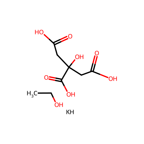 CCO.O=C(O)CC(O)(CC(=O)O)C(=O)O.[KH]